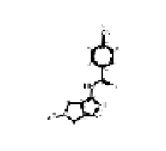 CC(=O)N1Cc2n[nH]c(NC(=O)c3ccc(C#N)cc3)c2C1